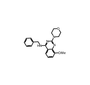 COc1cccc2c(NCc3ccccc3)nc(N3CCOCC3)nc12